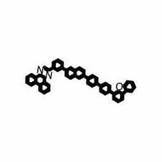 c1cc(-c2ccc3cc(-c4ccc(-c5ccc(-c6cccc7c6oc6ccccc67)cc5)cc4)ccc3c2)cc(-c2cnc3c4ccccc4c4ccccc4c3n2)c1